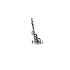 CCCCCCCCCCCCOc1ccc2cc(C(=O)NO)ccc2c1